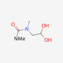 CNC(=O)N(C)CC(O)O